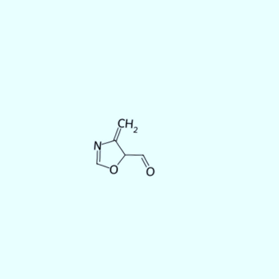 C=C1N=COC1C=O